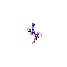 Cc1cc(-n2c(N3CC(c4ccc5c(cnn5C)c4)C3)nc3c(c2=O)CCN(C(=O)c2cc4cc(C5CCOCC5)ccc4n2[C@@]2(c4noc(=O)[nH]4)C[C@@H]2C)C3)cc(C)c1F